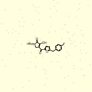 CCCCN1CC(C(=O)c2ccc(Cc3ccc(F)cc3)o2)=C(O)C1=O